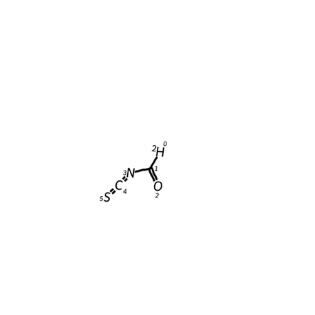 [2H]C(=O)N=C=S